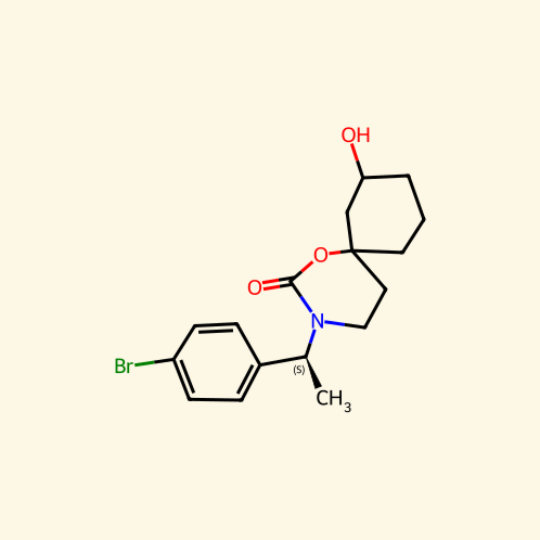 C[C@@H](c1ccc(Br)cc1)N1CCC2(CCCC(O)C2)OC1=O